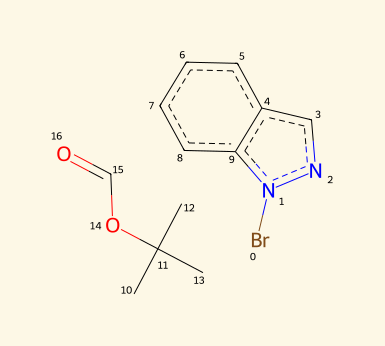 Brn1ncc2ccccc21.CC(C)(C)OC=O